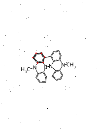 CN1c2ccccc2B(N2c3ccccc3N(C)c3cccc(-c4ccccc4)c32)c2ccccc21